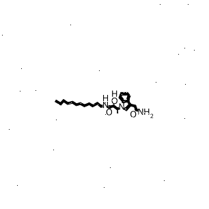 CCCCCCCCCCCCNC(=O)[C@H](O)[C@H](C)n1cc(CC(N)=O)c2ccccc21